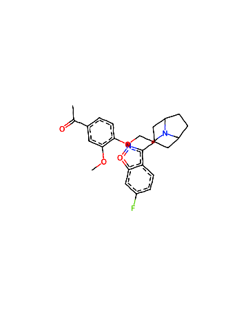 COc1cc(C(C)=O)ccc1OCCN1C2CCC1CC(c1noc3cc(F)ccc13)C2